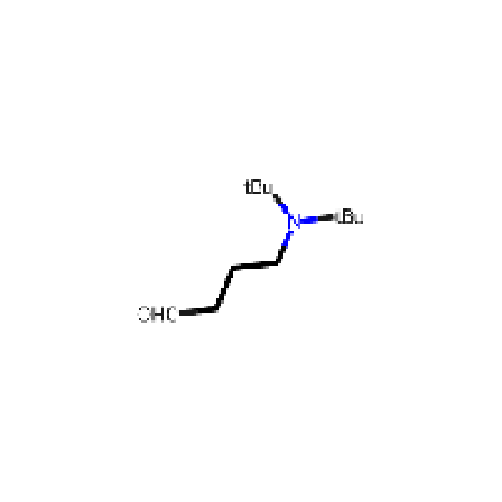 CC(C)(C)N(CCCC=O)C(C)(C)C